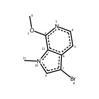 COc1nccc2c(Br)cn(C)c12